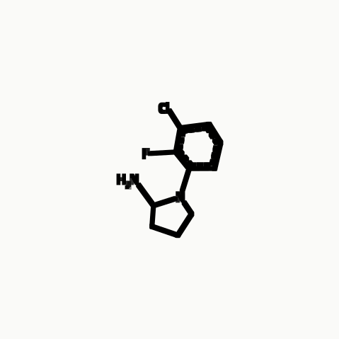 NC1CCCN1c1cccc(Cl)c1F